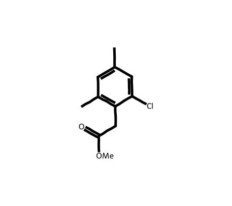 COC(=O)Cc1c(C)cc(C)cc1Cl